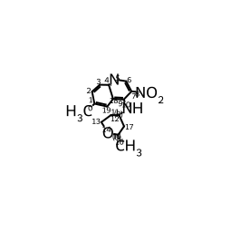 Cc1ccc2ncc([N+](=O)[O-])c(N[C@@H]3CCO[C@H](C)C3)c2c1